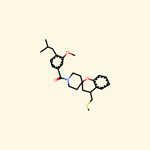 COc1cc(C(=O)N2CCC3(CC2)CC(CSC)c2ccccc2O3)ccc1CC(C)C